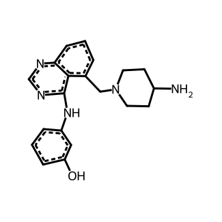 NC1CCN(Cc2cccc3ncnc(Nc4cccc(O)c4)c23)CC1